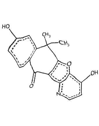 CC1(C)c2cc(O)ccc2C(=O)c2c1oc1c(O)ccnc21